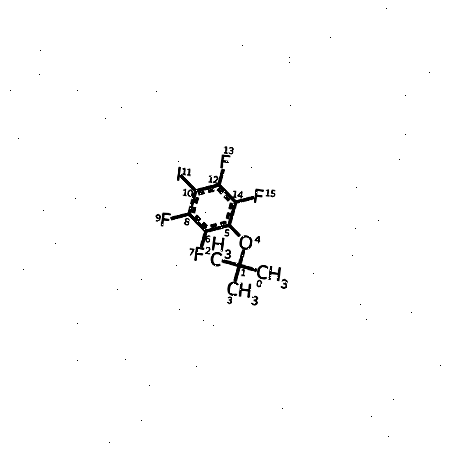 CC(C)(C)Oc1c(F)c(F)c(I)c(F)c1F